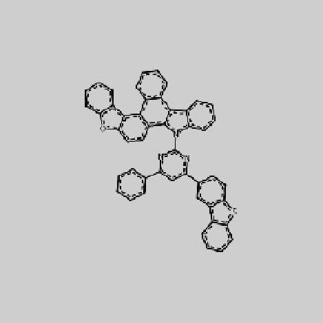 c1ccc(-c2cc(-c3ccc4sc5ccccc5c4c3)nc(-n3c4ccccc4c4c5ccccc5c5c(ccc6oc7ccccc7c65)c43)n2)cc1